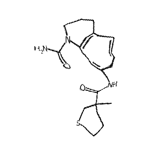 CC1(C(=O)Nc2ccc3c(c2)N(C(N)=O)CCC3)CCSC1